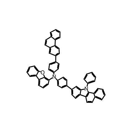 c1ccc(-n2c3cc(-c4ccc(N(c5ccc(-c6ccc7c(ccc8ccccc87)c6)cc5)c5cccc6c5oc5ccccc56)cc4)ccc3c3ccc4ccccc4c32)cc1